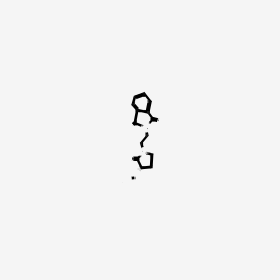 CO[C@H]1CCN(CCN2C(=O)c3ccccc3C2=O)C1=O